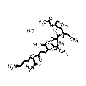 CC(=O)N[C@@H](C=O)[C@@H](OCC(=O)NC(C)C(=O)NC(CCC(=O)NC(CCCCN)C(N)=O)C(N)=O)[C@H](O)[C@H](O)CO.Cl